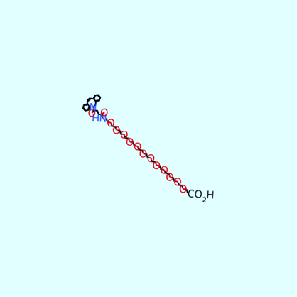 O=C(O)CCOCCOCCOCCOCCOCCOCCOCCOCCOCCOCCOCCOCCNC(=O)CCC(=O)N1Cc2ccccc2C#Cc2ccccc21